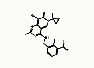 C=C1C(Br)=c2nc(C)nc(NCc3cccc(C(F)F)c3C)c2=CN1C1(C)CC1